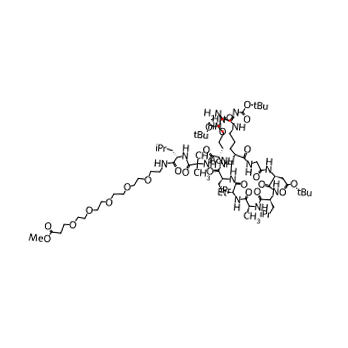 CC[C@H](NC(=O)[C@H](C)NC(=O)[C@H](CC(C)C)NC(=O)[C@H](CC(=O)OC(C)(C)C)NC(=O)CNC(=O)[C@H](CCCN/C(=N\C(=O)OC(C)(C)C)NC(=O)OC(C)(C)C)NC(C)=O)C(=O)N[C@@H](CC(C)C)C(=O)N[C@@H](CCCNC(N)=O)C(=O)NC(C)(C)C(=O)N[C@@H](CC(C)C)C(=O)NCCOCCOCCOCCOCCOCCC(=O)OC